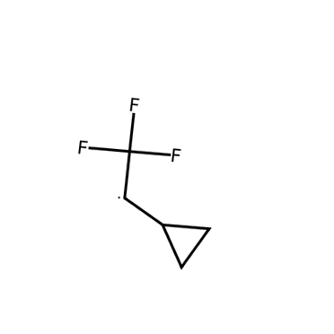 FC(F)(F)[CH]C1CC1